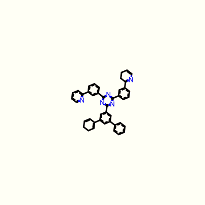 C1=CC(c2cc(-c3ccccc3)cc(-c3nc(-c4cccc(C5=NC=CCC5)c4)nc(-c4cccc(-c5ccccn5)c4)n3)c2)=CCC1